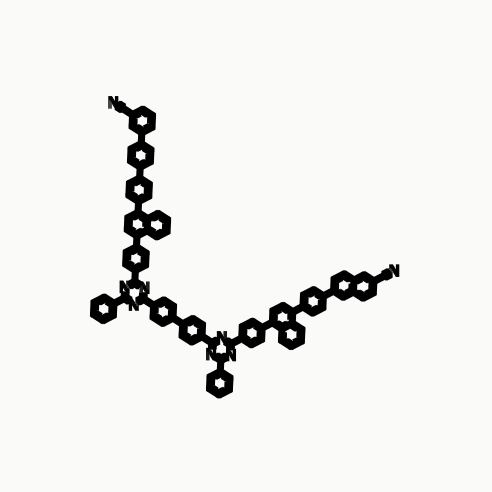 N#Cc1cccc(-c2ccc(-c3ccc(-c4ccc(-c5ccc(-c6nc(-c7ccccc7)nc(-c7ccc(-c8ccc(-c9nc(-c%10ccccc%10)nc(-c%10ccc(-c%11ccc(-c%12ccc(-c%13ccc%14cc(C#N)ccc%14c%13)cc%12)c%12ccccc%11%12)cc%10)n9)cc8)cc7)n6)cc5)c5ccccc45)cc3)cc2)c1